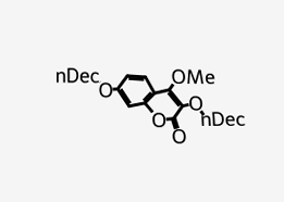 CCCCCCCCCCOc1ccc2c(OC)c(OCCCCCCCCCC)c(=O)oc2c1